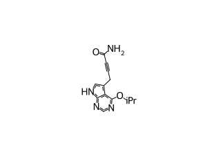 CC(C)Oc1ncnc2[nH]cc(CC#CC(N)=O)c12